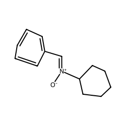 [O-][N+](=Cc1ccccc1)C1CCCCC1